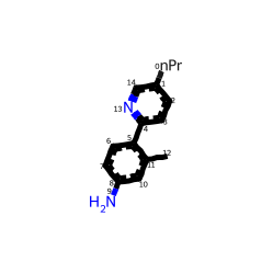 CCCc1ccc(-c2ccc(N)cc2C)nc1